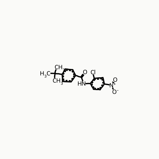 CC(C)(C)c1ccc(C(=O)Nc2ccc([N+](=O)[O-])cc2Cl)cc1